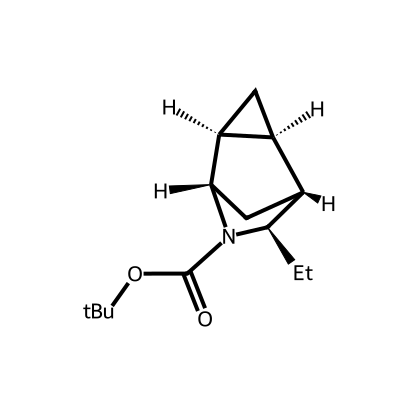 CC[C@@H]1[C@@H]2C[C@@H]([C@H]3C[C@@H]23)N1C(=O)OC(C)(C)C